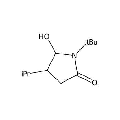 CC(C)C1CC(=O)N(C(C)(C)C)C1O